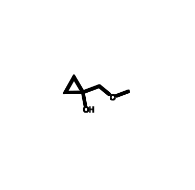 COCC1(O)CC1